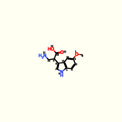 COc1ccc2[nH]cc(C(CN)C(=O)O)c2c1